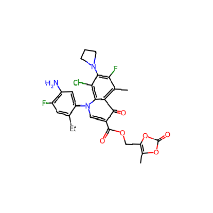 CCc1cc(F)c(N)cc1-n1cc(C(=O)OCc2oc(=O)oc2C)c(=O)c2c(C)c(F)c(N3CCC3)c(Cl)c21